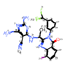 CC(Nc1nc(N)nc(N)c1C#N)c1nc2c(I)cccc2c(=O)n1-c1cccc(C(F)F)c1